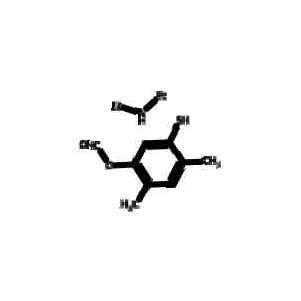 CCNCC.Cc1cc(C)c(OC=O)cc1S